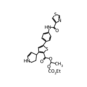 CCOC(=O)OC(C)OC(=O)c1sc(-c2ccc(NC(=O)c3cscn3)cc2)cc1C1C=CNCC1